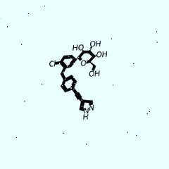 OC[C@H]1O[C@@H](c2ccc(Cl)c(Cc3ccc(C#Cc4cn[nH]c4)cc3)c2)[C@H](O)[C@@H](O)[C@@H]1O